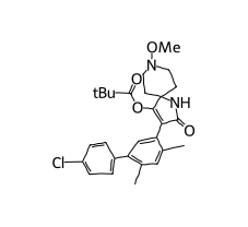 CON1CCC2(CC1)NC(=O)C(c1cc(-c3ccc(Cl)cc3)c(C)cc1C)=C2OC(=O)C(C)(C)C